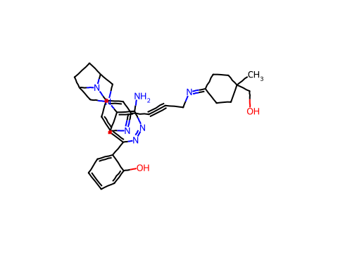 CC1(CO)CCC(=NCC#Cc2cc(N3C4CCC3CN(c3cc(-c5ccccc5O)nnc3N)C4)ccn2)CC1